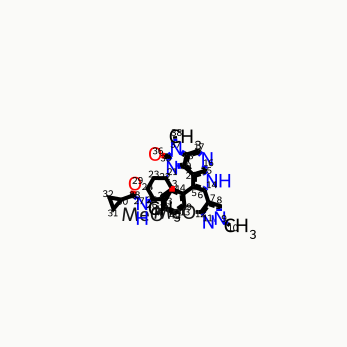 COc1ccc(-c2c(-c3cn(C)nc3OC)[nH]c3ncc4c(c23)n([C@H]2CC[C@@](C)(NC(=O)C3CC3)CC2)c(=O)n4C)cc1